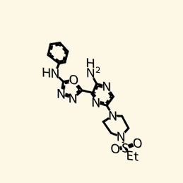 CCS(=O)(=O)N1CCN(c2cnc(N)c(-c3nnc(Nc4ccccc4)o3)n2)CC1